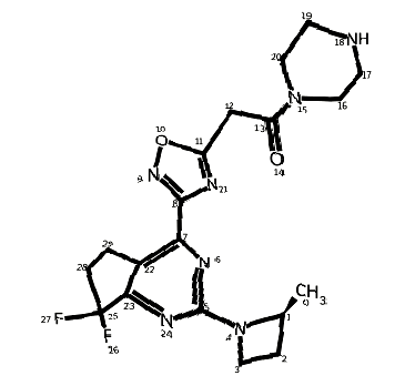 C[C@H]1CCN1c1nc(-c2noc(CC(=O)N3CCNCC3)n2)c2c(n1)C(F)(F)CC2